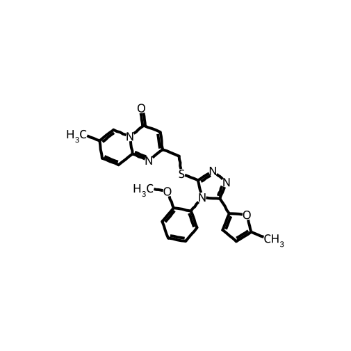 COc1ccccc1-n1c(SCc2cc(=O)n3cc(C)ccc3n2)nnc1-c1ccc(C)o1